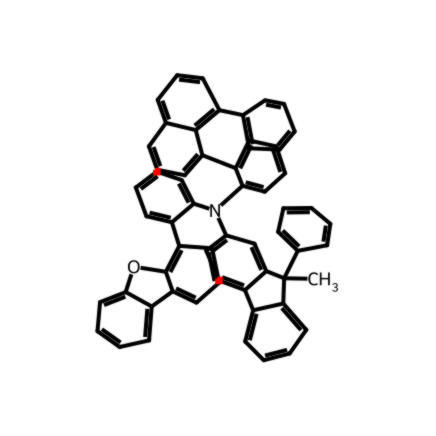 CC1(c2ccccc2)c2ccccc2-c2ccc(N(c3ccccc3-c3cccc4c3oc3ccccc34)c3ccccc3-c3cccc4cccc(-c5ccccc5)c34)cc21